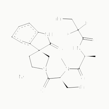 CC(C)C[C@@H](C(=O)N1C[C@]2(C[C@H]1C#N)C(=O)Nc1ccccc12)N(C)C(=O)[C@H](C)NC(=O)C(F)(F)CC(C)C